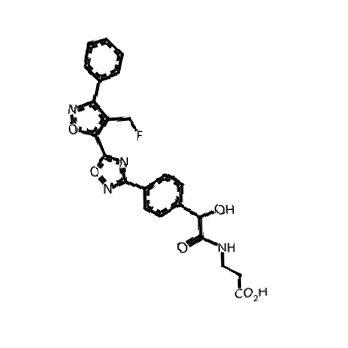 O=C(O)CCNC(=O)C(O)c1ccc(-c2noc(-c3onc(-c4ccccc4)c3CF)n2)cc1